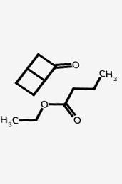 CCCC(=O)OCC.O=C1CC2CCC12